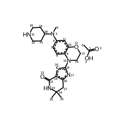 CC(=O)O.CN(c1ccc2c(c1)OCCN2c1nc2c(s1)C(=O)NC(C)(C)C2)C1CCNCC1